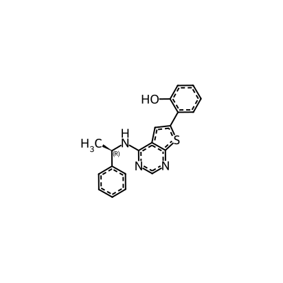 C[C@@H](Nc1ncnc2sc(-c3ccccc3O)cc12)c1ccccc1